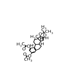 CC(=O)Oc1cc2c(c(OC(C)=O)c1)[C@H]1CC[C@]3(C)[C@@H]4OC(C)(C)O[C@@H]4C[C@H]3[C@H]1CC2